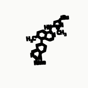 CNc1ncc2cc(-c3c(C)ccc4c(NC5CC(C(C)(C)C)=NN5C)nccc34)ccc2n1